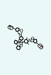 Cc1cc(C(C)(c2ccc(N3COc4ccc(C56CC7CC(CC(C7)C5)C6)cc4C3)cc2)P2(=O)Oc3ccccc3-c3ccccc32)cc(C)c1N1COc2ccc(C34CC5CC(CC(C5)C3)C4)cc2C1